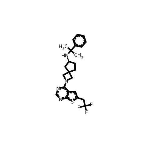 CC(C)(N[C@H]1CCC2(C1)CN(c1ncnc3sc(CC(F)(F)F)cc13)C2)c1ccccc1